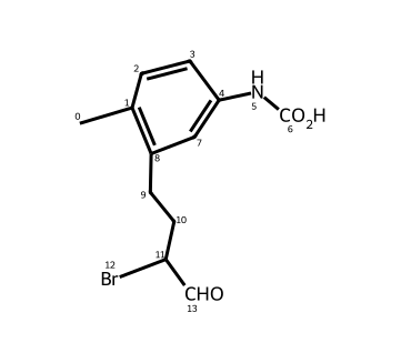 Cc1ccc(NC(=O)O)cc1CCC(Br)C=O